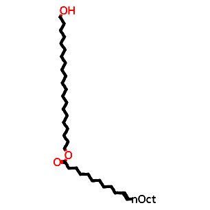 CCCCCCCCC=CCCCCCCCCCC(=O)OCCCCCCCCCCCCCCCCCCCCCO